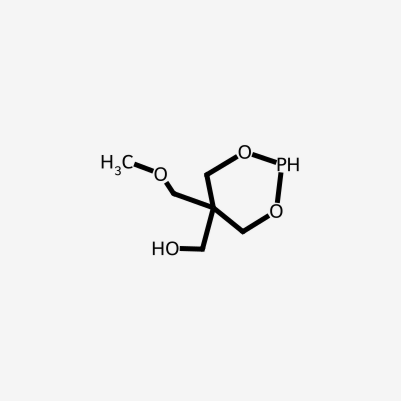 COCC1(CO)COPOC1